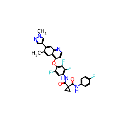 Cc1cc2c(Oc3c(F)cc(NC(=O)C4(C(=O)Nc5ccc(F)cc5)CC4)c(F)c3F)ccnc2cc1-c1cnn(C)c1